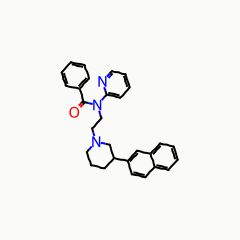 O=C(c1ccccc1)N(CCN1CCCC(c2ccc3ccccc3c2)C1)c1ccccn1